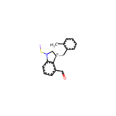 Cc1ccccc1C[C@H]1CN(SI)c2cccc(C=O)c21